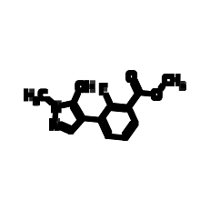 COC(=O)c1cccc(-c2cnn(C)c2O)c1F